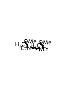 CCC(CC(C)OC)=NCCCCCN=C(CC)CC(C)OC